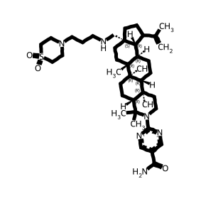 C=C(C)C1CC[C@]2(CNCCCN3CCS(=O)(=O)CC3)CC[C@]3(C)[C@H](CC[C@@H]4[C@@]5(C)CCN(c6ncc(C(N)=O)cn6)C(C)(C)[C@@H]5CC[C@]43C)[C@@H]12